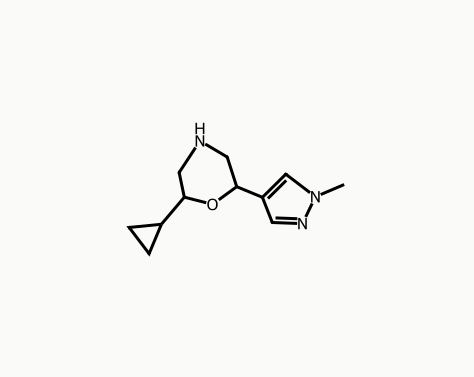 Cn1cc(C2CNCC(C3CC3)O2)cn1